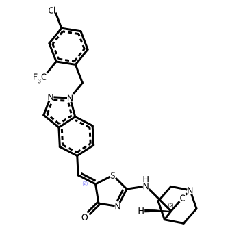 O=C1N=C(N[C@@H]2CN3CCC2CC3)S/C1=C\c1ccc2c(cnn2Cc2ccc(Cl)cc2C(F)(F)F)c1